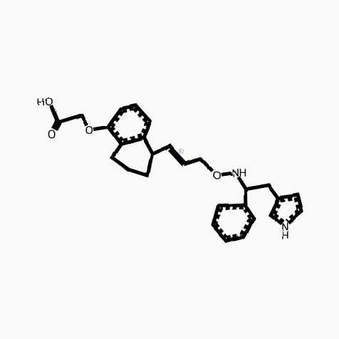 O=C(O)COc1cccc2c1CCCC2/C=C/CONC(Cc1cc[nH]c1)c1ccccc1